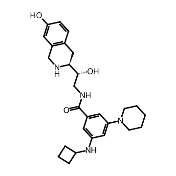 O=C(NC[C@@H](O)[C@@H]1Cc2ccc(O)cc2CN1)c1cc(NC2CCC2)cc(N2CCCCC2)c1